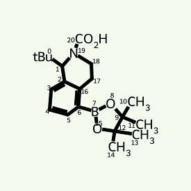 CC(C)(C)C1c2cccc(B3OC(C)(C)C(C)(C)O3)c2CCN1C(=O)O